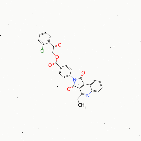 CCc1nc2ccccc2c2c1C(=O)N(c1ccc(C(=O)OCC(=O)c3ccccc3Cl)cc1)C2=O